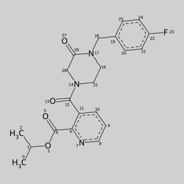 CC(C)OC(=O)c1ncccc1C(=O)N1CCN(Cc2ccc(F)cc2)C(=O)C1